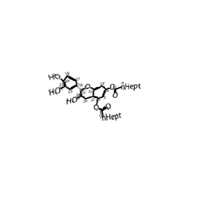 CCCCCCCC(=O)Oc1cc(OC(=O)CCCCCCC)c2c(c1)O[C@@H](c1ccc(O)c(O)c1)[C@H](O)C2